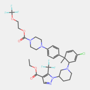 CCOC(=O)c1cnn(C2CCCN(C3C=C(Cl)C=CC3(C)c3ccc(N4CCN(C(=O)OCCOC(F)(F)F)CC4)cc3)C2)c1C(F)(F)F